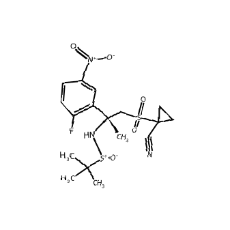 CC(C)(C)[S@@+]([O-])N[C@@](C)(CS(=O)(=O)C1(C#N)CC1)c1cc([N+](=O)[O-])ccc1F